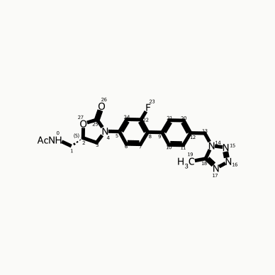 CC(=O)NC[C@H]1CN(c2ccc(-c3ccc(Cn4nnnc4C)cc3)c(F)c2)C(=O)O1